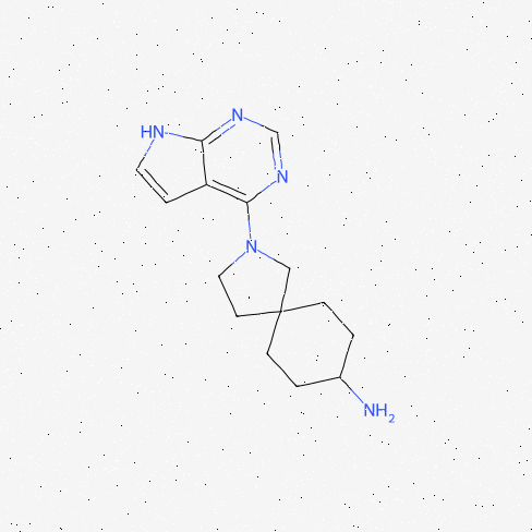 NC1CCC2(CC1)CCN(c1ncnc3[nH]ccc13)C2